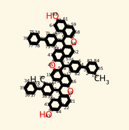 CC1C=C(c2ccc(C3c4c(ccc5c6c(ccc45)Oc4ccc5c(c4C6C4=CC(C)C(c6ccccc6)C=C4)CCC(O)=C5)Oc4ccc5c6c(ccc5c43)Oc3ccc4cc(O)ccc4c3C6c3ccc(-c4ccccc4)cc3)cc2)C=CC1